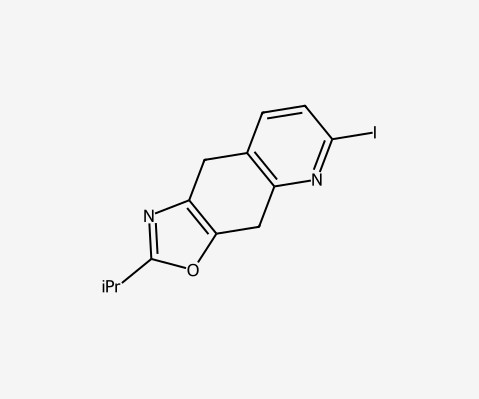 CC(C)c1nc2c(o1)Cc1nc(I)ccc1C2